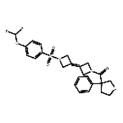 O=C(N1CC(=C2CN(S(=O)(=O)c3ccc(OC(F)F)cc3)C2)C1)C1(c2ccccc2)CCOC1